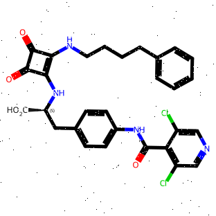 O=C(Nc1ccc(C[C@H](Nc2c(NCCCCc3ccccc3)c(=O)c2=O)C(=O)O)cc1)c1c(Cl)cncc1Cl